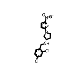 O=[N+]([O-])c1ccc(N2CC[C@H](NCc3ccc(Cl)cc3Cl)C2)s1